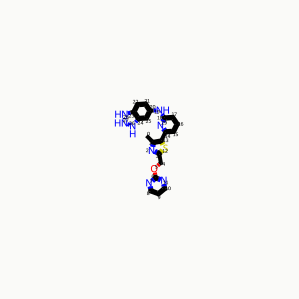 Cc1nc(COc2ncccn2)sc1-c1cccc(Nc2ccc3c(c2)NNN3)n1